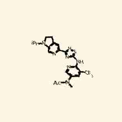 CC(=O)N(C)c1cnc(Nc2nc(-c3cc4c(cn3)N(C(C)C)CC4)ns2)c(C(F)(F)F)c1